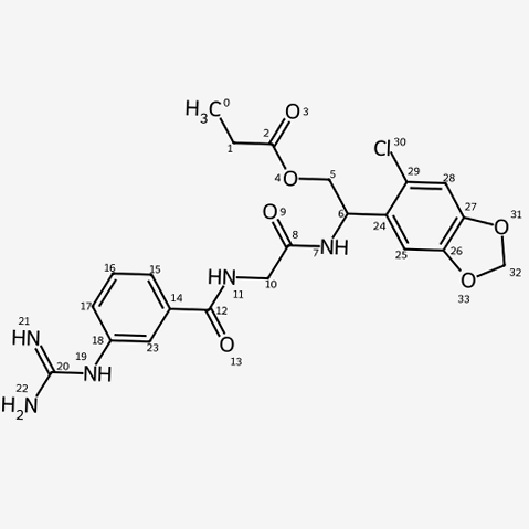 CCC(=O)OCC(NC(=O)CNC(=O)c1cccc(NC(=N)N)c1)c1cc2c(cc1Cl)OCO2